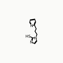 Sc1nccn1CCCc1ccccn1